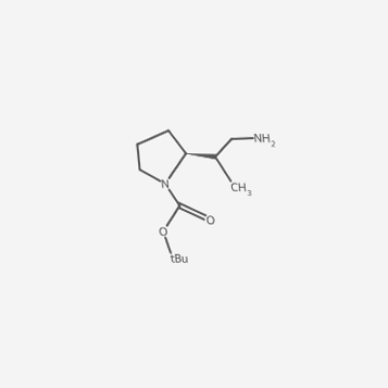 CC(CN)[C@@H]1CCCN1C(=O)OC(C)(C)C